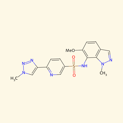 COc1ccc2cnn(C)c2c1NS(=O)(=O)c1ccc(-c2cn(C)nn2)nc1